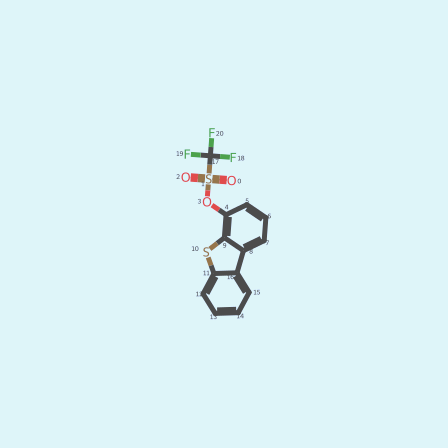 O=S(=O)(Oc1cccc2c1sc1ccccc12)C(F)(F)F